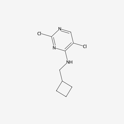 Clc1ncc(Cl)c(NCC2CCC2)n1